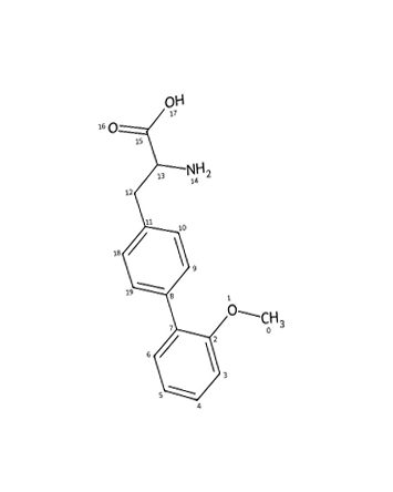 COc1ccccc1-c1ccc(CC(N)C(=O)O)cc1